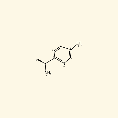 C[C@H](N)c1ccc(C(F)(F)F)cn1